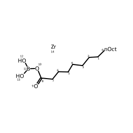 CCCCCCCCCCCCCCCC(=O)OB(O)O.[Zr]